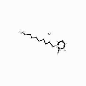 CCCCCCCCCC[n+]1cccnc1F.[Br-]